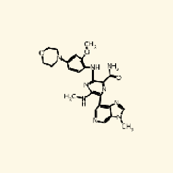 CNc1nc(Nc2ccc(N3CCOCC3)cc2OC)c(C(N)=O)nc1-c1cncc2c1ncn2C